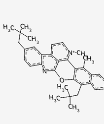 Cc1c2c(c(CC(C)(C)C)c3ccccc13)Oc1nc3ccc(CC(C)(C)C)cc3c3cc[n+](C)c-2c13